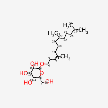 CC(=CCCOC1O[C@H](CO)[C@H](O)[C@H](O)[C@H]1O)CCCC(C)CCCC(C)C